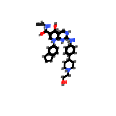 CONC(=O)c1cn(-c2ccc3c(c2)CCC3)c2nc(Nc3ccc(C4CCN(CCO)CC4)cc3)ncc2c1=O